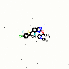 CC(Oc1ncc2ccc(-c3sc4c(F)c(Cl)ccc4c3C#N)c(F)c2n1)[C@@H]1CCCN1C